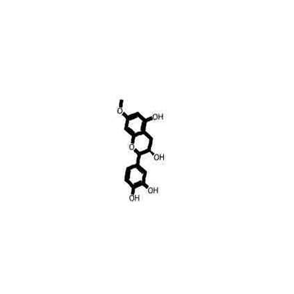 COc1cc(O)c2c(c1)OC(c1ccc(O)c(O)c1)[C@H](O)C2